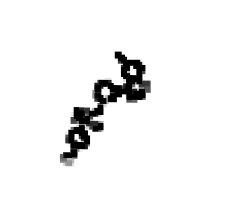 Cc1ccc2ncnc(N3CCCC(CNS(=O)(=O)c4ccc(Cl)cc4)C3)c2c1